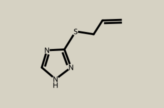 C=CCSc1nc[nH]n1